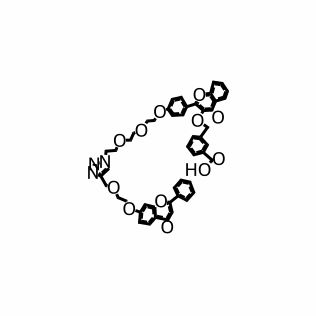 O=C(O)c1cccc(COc2c(-c3ccc(OCCOCCOCCn4cc(COCCOc5ccc6c(=O)cc(-c7ccccc7)oc6c5)nn4)cc3)oc3ccccc3c2=O)c1